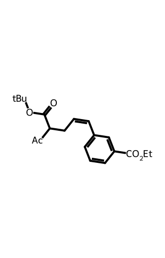 CCOC(=O)c1cccc(/C=C\CC(C(C)=O)C(=O)OC(C)(C)C)c1